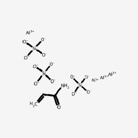 C=CC(N)=O.[Al+3].[Al+3].[Al+3].[Al+3].[O-][Si]([O-])([O-])[O-].[O-][Si]([O-])([O-])[O-].[O-][Si]([O-])([O-])[O-]